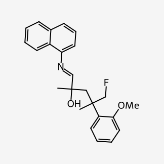 COc1ccccc1C(C)(CF)CC(C)(O)C=Nc1cccc2ccccc12